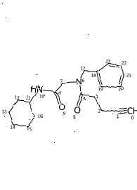 C#CCCC(=O)N(CC(=O)NC1CCCCC1)Cc1ccccc1